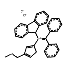 COCC1=CC[C]([Zr+2](=[C](c2ccccc2)c2ccccc2)[CH]2c3ccccc3-c3ccccc32)=C1.[Cl-].[Cl-]